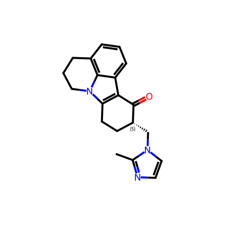 Cc1nccn1C[C@@H]1CCc2c(c3cccc4c3n2CCC4)C1=O